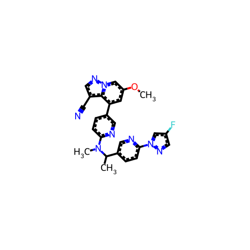 COc1cc(-c2ccc(N(C)C(C)c3ccc(-n4cc(F)cn4)nc3)nc2)c2c(C#N)cnn2c1